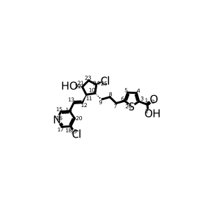 O=C(O)c1ccc(CCC[C@@H]2[C@@H](C=Cc3cncc(Cl)c3)[C@H](O)C[C@H]2Cl)s1